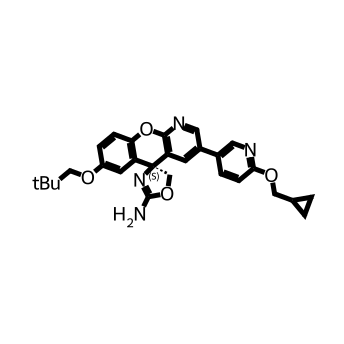 CC(C)(C)COc1ccc2c(c1)[C@@]1(COC(N)=N1)c1cc(-c3ccc(OCC4CC4)nc3)cnc1O2